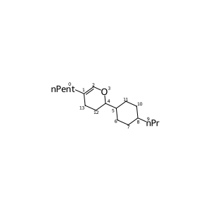 CCCCCC1=COC(C2CCC(CCC)CC2)CC1